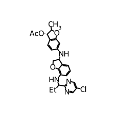 CCC(Nc1cccc2c1OC[C@H]2Nc1ccc2c(c1)OC(C)[C@H]2OC(C)=O)c1ncc(Cl)cn1